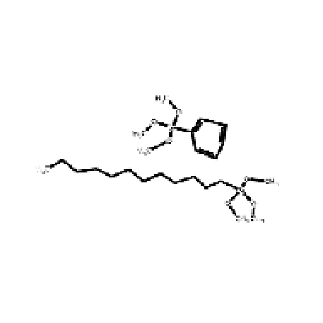 CCCCCCCCCCCC[Si](OC)(OC)OC.CO[Si](OC)(OC)c1ccccc1